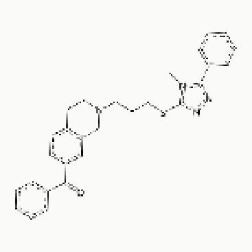 Cn1c(SCCCN2CCc3ccc(C(=O)c4ccccc4)cc3C2)nnc1-c1ccccc1